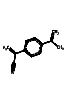 C=C(C)c1ccc(C(=C)C#N)cc1